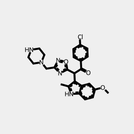 COc1ccc2[nH]c(C)c(C(C(=O)c3ccc(Cl)cc3)c3nc(CN4CCNCC4)no3)c2c1